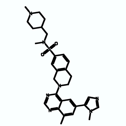 Cc1cc(-c2cncn2C)cc2c(N3CCc4ccc(S(=O)(=O)N(C)CC5CCN(C)CC5)cc4C3)ncnc12